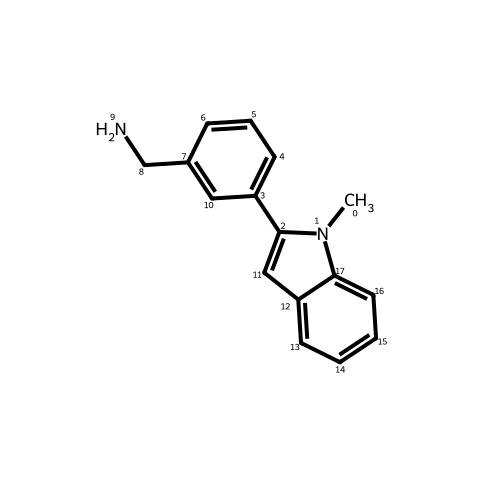 Cn1c(-c2cccc(CN)c2)cc2ccccc21